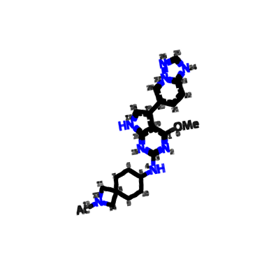 COc1nc(NC2CCC3(CC2)CN(C(C)=O)C3)nc2[nH]cc(-c3ccc4ncnn4c3)c12